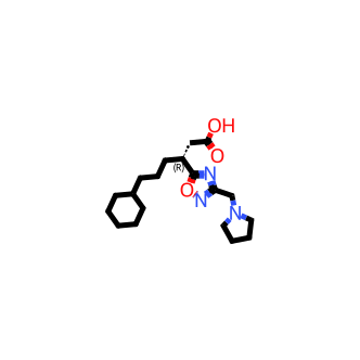 O=C(O)C[C@@H](CCCC1CCCCC1)c1nc(CN2CCCC2)no1